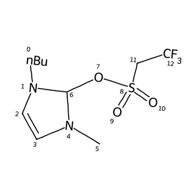 CCCCN1C=CN(C)C1OS(=O)(=O)CC(F)(F)F